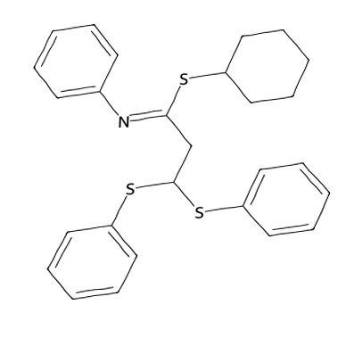 c1ccc(N=C(CC(Sc2ccccc2)Sc2ccccc2)SC2CCCCC2)cc1